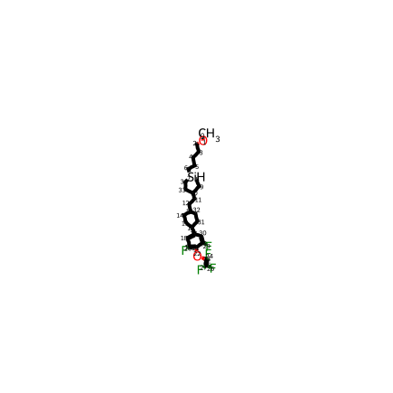 COCCCCC[SiH]1CCC(CCC2CCC(c3cc(F)c(OC(F)=C(F)F)c(F)c3)CC2)CC1